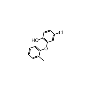 Cc1ccccc1Oc1cc(Cl)ccc1O